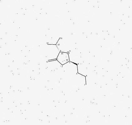 C=C1C[C@H](CCCC)O[C@H]1C(C)C